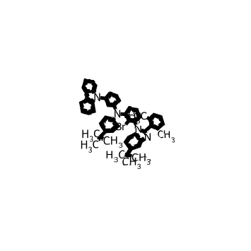 Cc1cccc(C)c1-c1nc2cc(C(C)(C)C)ccc2n1-c1cccc(N(c2ccc(C(C)(C)C)cc2)c2cccc(-n3c4ccccc4c4ccccc43)c2)c1Br